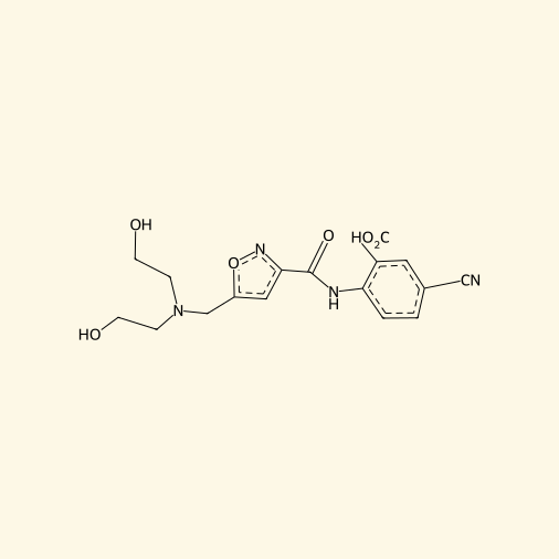 N#Cc1ccc(NC(=O)c2cc(CN(CCO)CCO)on2)c(C(=O)O)c1